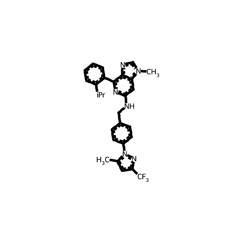 Cc1cc(C(F)(F)F)nn1-c1ccc(CNc2cc3c(ncn3C)c(-c3ccccc3C(C)C)n2)cc1